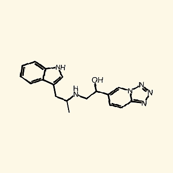 CC(Cc1c[nH]c2ccccc12)NCC(O)c1ccc2nnnn2c1